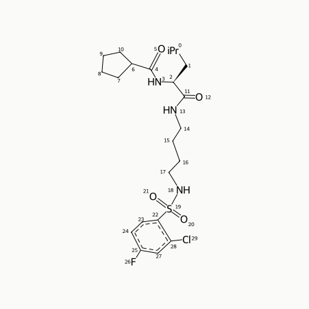 CC(C)C[C@H](NC(=O)C1CCCC1)C(=O)NCCCCNS(=O)(=O)c1ccc(F)cc1Cl